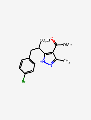 CCOC(=O)C(Cc1ccc(Br)cc1)c1[nH]nc(C)c1C(=O)OC